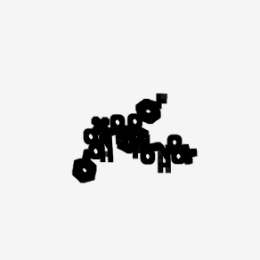 CC(C)(C)OC(=O)NCC(=O)N1C[C@H](Oc2ccc(F)cc2)[C@@H]2[C@H]1CCN2C(=O)[C@@H](NC(=O)OCc1ccccc1)C(C)(C)C